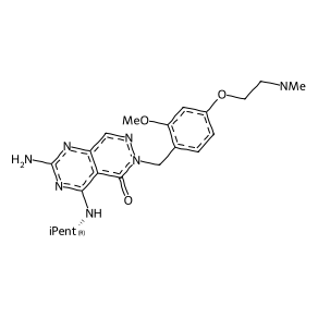 CCC[C@@H](C)Nc1nc(N)nc2cnn(Cc3ccc(OCCNC)cc3OC)c(=O)c12